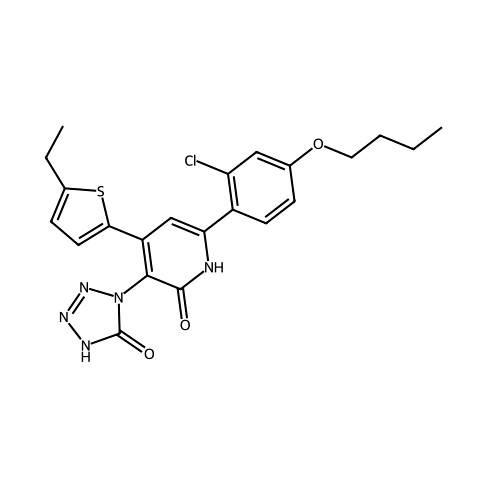 CCCCOc1ccc(-c2cc(-c3ccc(CC)s3)c(-n3nn[nH]c3=O)c(=O)[nH]2)c(Cl)c1